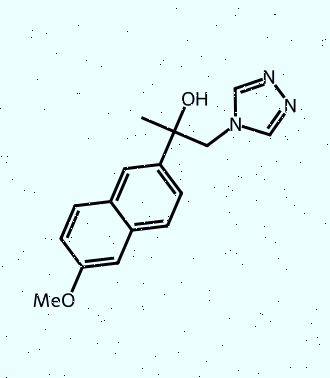 COc1ccc2cc(C(C)(O)Cn3cnnc3)ccc2c1